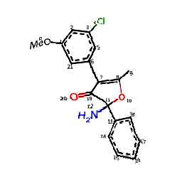 COc1cc(Cl)cc(C2=C(C)OC(N)(c3ccccc3)C2=O)c1